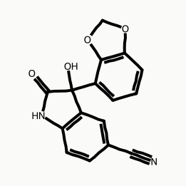 N#Cc1ccc2c(c1)C(O)(c1cccc3c1OCO3)C(=O)N2